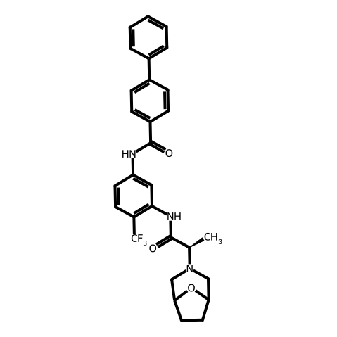 C[C@H](C(=O)Nc1cc(NC(=O)c2ccc(-c3ccccc3)cc2)ccc1C(F)(F)F)N1CC2CCC(C1)O2